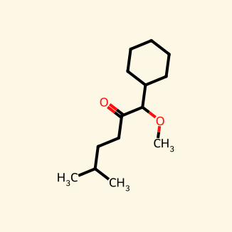 COC(C(=O)CCC(C)C)C1CCCCC1